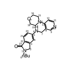 CCCCN1Cc2cc(NCc3cnccc3N3CCOCC3)ccc2C1=O